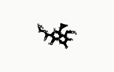 C=Cc1c(F)c(F)cn2c(=O)c(C(=O)OCC)nc(C3CC3)c12